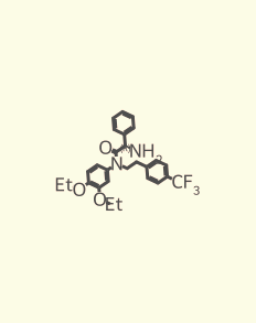 CCOc1ccc(N(CCc2ccc(C(F)(F)F)cc2)C(=O)[C@H](N)c2ccccc2)cc1OCC